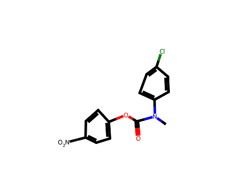 CN(C(=O)Oc1ccc([N+](=O)[O-])cc1)c1ccc(Cl)cc1